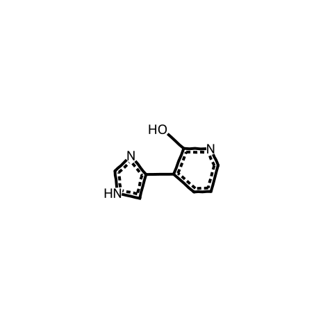 Oc1ncccc1-c1c[nH]cn1